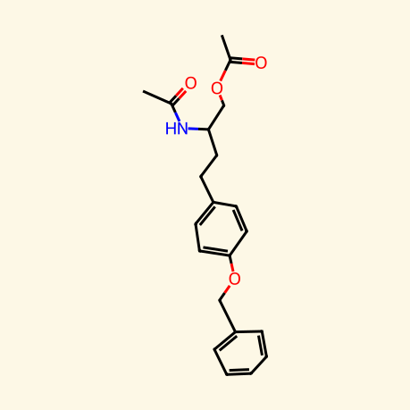 CC(=O)NC(CCc1ccc(OCc2ccccc2)cc1)COC(C)=O